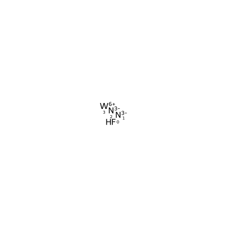 F.[N-3].[N-3].[W+6]